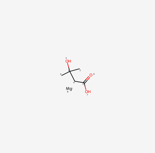 CC(C)(O)CC(=O)O.[Mg]